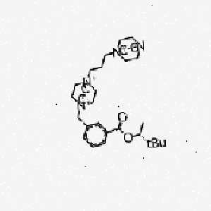 C[C@@H](OC(=O)c1cccc(C[N+]23CC[N+](CCC[N+]45CCN(CC4)CC5)(CC2)CC3)c1)C(C)(C)C